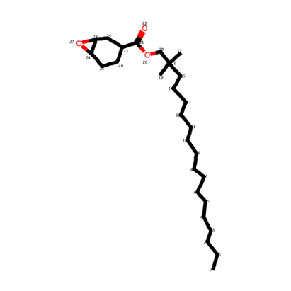 CCCCCCCCCCCCCCCCC(C)(C)COC(=O)C1CCC2OC2C1